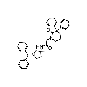 CC1(NC(=O)CN2CCCC(c3ccccc3)(c3ccccc3)C2=O)CCN(C(c2ccccc2)c2ccccc2)C1